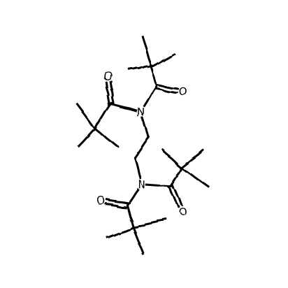 CC(C)(C)C(=O)N(CCN(C(=O)C(C)(C)C)C(=O)C(C)(C)C)C(=O)C(C)(C)C